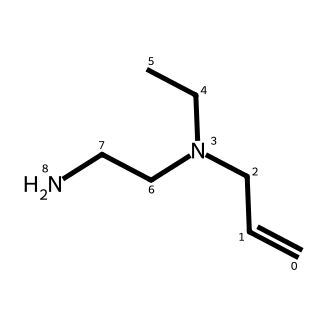 C=CCN(CC)CCN